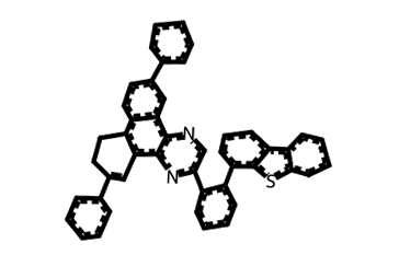 C1=C(c2ccccc2)CCc2c1c1nc(-c3ccccc3-c3cccc4c3sc3ccccc34)cnc1c1cc(-c3ccccc3)ccc21